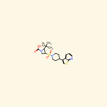 CC(C)(C)C1C(S(=O)(=O)N2CCC(c3csc4ncccc34)CC2)CN1C(=O)O